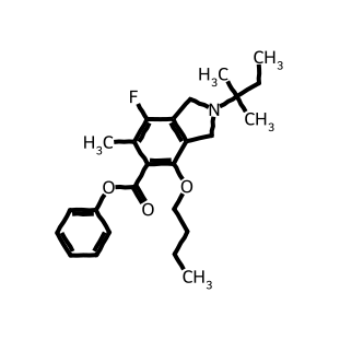 CCCCOc1c2c(c(F)c(C)c1C(=O)Oc1ccccc1)CN(C(C)(C)CC)C2